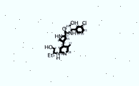 CC[C@@H](CO)Nc1cc(-c2c[nH]c(C(=O)N[C@H](CO)c3cccc(Cl)c3)c2)c(C)cn1